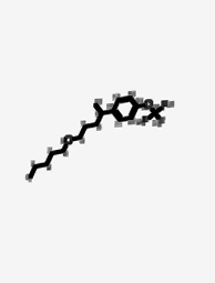 [CH2]CCCCOCCCC(C)c1ccc(OC(F)(F)F)cc1